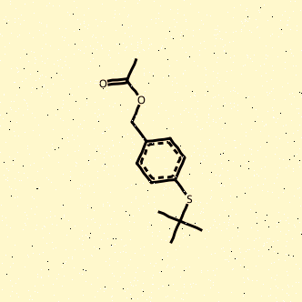 CC(=O)OCc1ccc(SC(C)(C)C)cc1